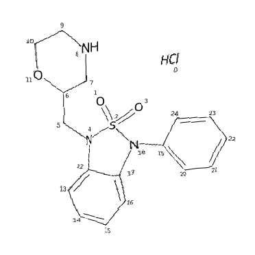 Cl.O=S1(=O)N(CC2CNCCO2)c2ccccc2N1c1ccccc1